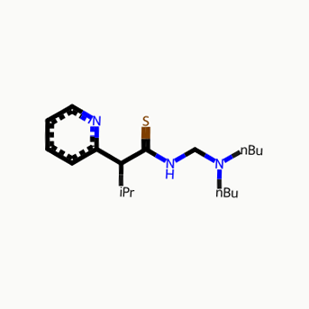 CCCCN(CCCC)CNC(=S)C(c1ccccn1)C(C)C